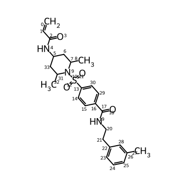 C=CC(=O)NC1CC(C)N(S(=O)(=O)c2ccc(C(=O)NCCc3cccc(C)c3)cc2)C(C)C1